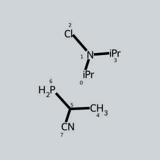 CC(C)N(Cl)C(C)C.CC(P)C#N